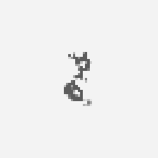 Cc1ccc(C(=O)NC2C3CC4CC2CC(O)(C4)C3)nc1Cl